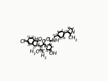 Cc1ncsc1-c1ccc(CNC(=O)[C@@H]2C[C@@H](O)CN2C(=O)[C@H](C(C)C)N2Cc3cc(Cl)ccc3C2O)cc1